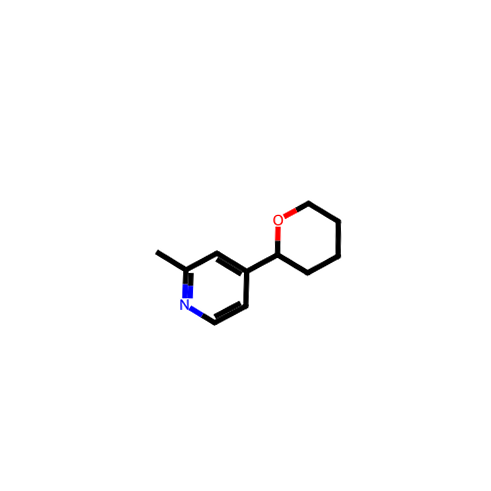 Cc1cc(C2CCCCO2)ccn1